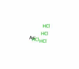 Cl.Cl.Cl.Cl.[As]